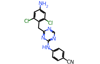 N#Cc1ccc(Nc2ncnc(Cc3c(Cl)cc(N)cc3Cl)n2)cc1